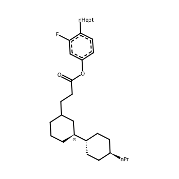 CCCCCCCc1ccc(OC(=O)CCC2CCC[C@H]([C@H]3CC[C@H](CCC)CC3)C2)cc1F